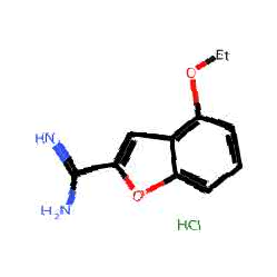 CCOc1cccc2oc(C(=N)N)cc12.Cl